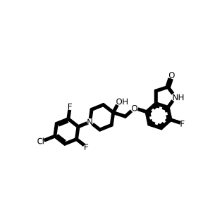 O=C1Cc2c(OCC3(O)CCN(C4C(F)=CC(Cl)=CC4F)CC3)ccc(F)c2N1